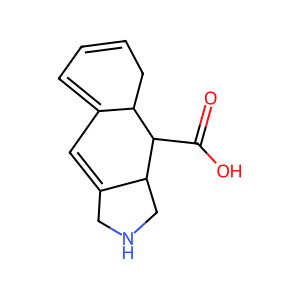 O=C(O)C1C2CC=CC=C2C=C2CNCC21